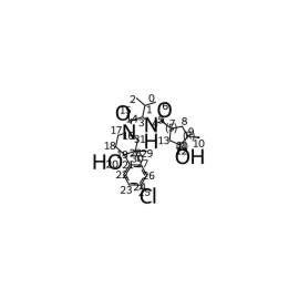 CC(C)C(NC(=O)[C@H]1C[C@@H](C)[C@H](O)C1)C(=O)N1CCC(O)(c2ccc(Cl)cc2)C(C)(C)C1